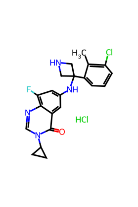 Cc1c(Cl)cccc1C1(Nc2cc(F)c3ncn(C4CC4)c(=O)c3c2)CNC1.Cl